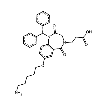 NCCCCCOc1ccc2c(c1)C(=O)N(CCC(=O)O)CC(=O)N2C(c1ccccc1)c1ccccc1